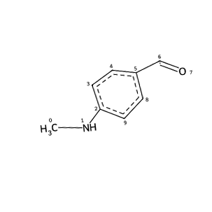 CNc1ccc([C]=O)cc1